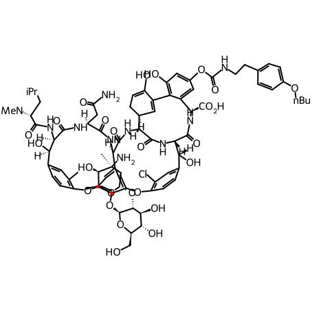 CCCCOc1ccc(CCNC(=O)Oc2cc(O)c3c(c2)[C@@H](C(=O)O)NC(=O)[C@H]2NC(=O)[C@H](NC(=O)[C@@H]4NC(=O)[C@H](CC(N)=O)NC(=O)[C@H](NC(=O)[C@@H](CC(C)C)NC)[C@H](O)c5ccc(c(C)c5)Oc5cc4cc(c5O[C@@H]4O[C@H](CO)[C@@H](O)[C@H](O)[C@H]4O[C@H]4C[C@](C)(N)[C@H](O)[C@H](C)O4)Oc4ccc(cc4Cl)[C@H]2O)[C@@H]2C=C3C(O)=CC2)cc1